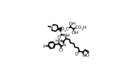 CN1CCC2(CC1)C[C@@H]2C(=O)NC(CCCCCC(=O)c1ccon1)c1nc(Cl)c(-c2ccc(F)cc2)[nH]1.O=C(O)C(O)C(O)C(=O)O